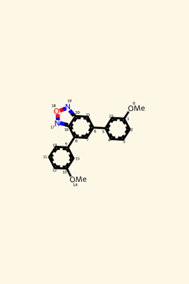 COc1cccc(-c2cc(-c3cccc(OC)c3)c3nonc3c2)c1